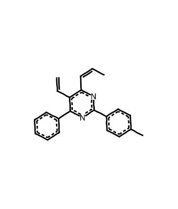 C=Cc1c(/C=C\C)nc(-c2ccc(C)cc2)nc1-c1ccccc1